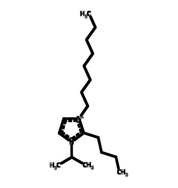 CCCCCCCC[n+]1ccn(C(C)C)c1CCCC